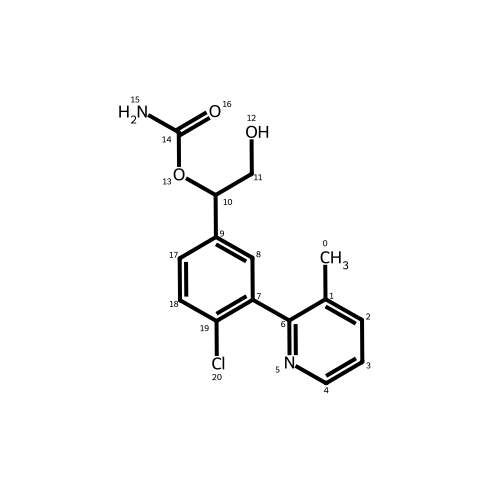 Cc1cccnc1-c1cc(C(CO)OC(N)=O)ccc1Cl